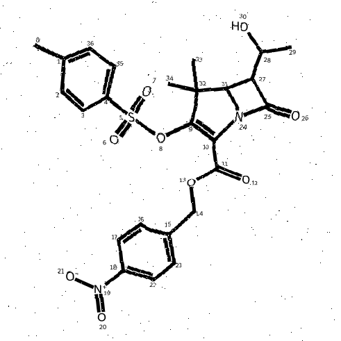 Cc1ccc(S(=O)(=O)OC2=C(C(=O)OCc3ccc([N+](=O)[O-])cc3)N3C(=O)C(C(C)O)C3C2(C)C)cc1